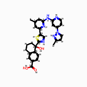 Cc1cc(Nc2cc(-n3ccc(C)n3)ccn2)nc(-c2cnc(C3(O)CCCc4cc(C(=O)O)ccc43)s2)c1